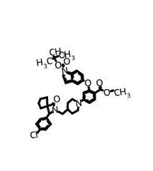 CCOC(=O)c1ccc(N2CCC(CN3C(=O)C4(CCCC4)C3c3ccc(Cl)cc3)CC2)cc1Oc1ccc2c(ccn2C(=O)OC(C)(C)C)c1